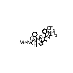 C=C(/C=C(\N=C(\C)N)c1cccc(C(F)(F)F)c1)C1CCCN1C(=O)C(NC(=O)C(C)NC)C1CCCCC1